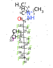 CC.CC[N+](C)(CC)NC(=O)C(F)(F)C(F)(F)C(F)(F)C(F)(F)C(F)(F)C(F)(F)C(F)(F)F.[I-]